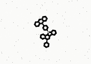 c1ccc(-c2cc3c4ccccc4n(-c4ccc(-c5c6ccccc6cc6ccccc56)cc4)c3c3ccccc23)cc1